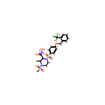 CC1C(C(=O)NO)N(S(=O)(=O)c2ccc(OCc3ccccc3C(F)(F)F)cc2)CCN1S(C)(=O)=O